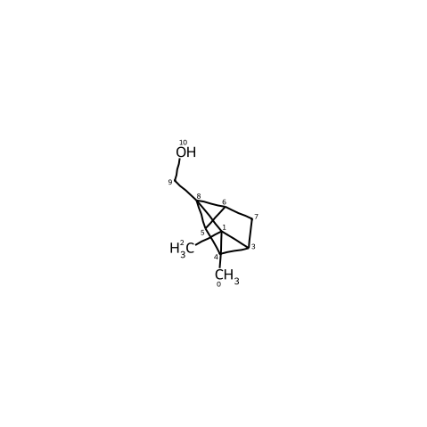 CC1(C)C2CC3C(C2)C31CO